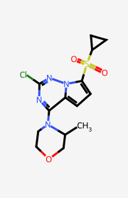 CC1COCCN1c1nc(Cl)nn2c(S(=O)(=O)C3CC3)ccc12